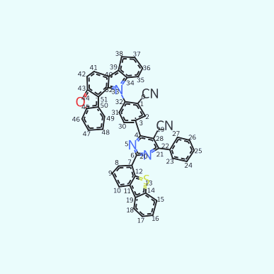 N#Cc1cc(-c2nc(-c3cccc4c3sc3ccccc34)nc(-c3ccccc3)c2C#N)ccc1-n1c2ccccc2c2ccc3oc4ccccc4c3c21